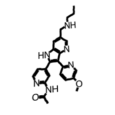 CCCNCc1cnc2c(-c3ccc(OC)cn3)c(-c3ccnc(NC(C)=O)c3)[nH]c2c1